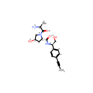 CC#Cc1ccc([C@H](CO)NC(=O)[C@@H]2C[C@@H](O)CN2C(=O)C(N)C(C)(C)C)cc1